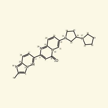 Cc1cn2nc(-c3cc(=O)n4cc(N5CCC(N6CCCC6)C5)ccc4n3)ccc2n1